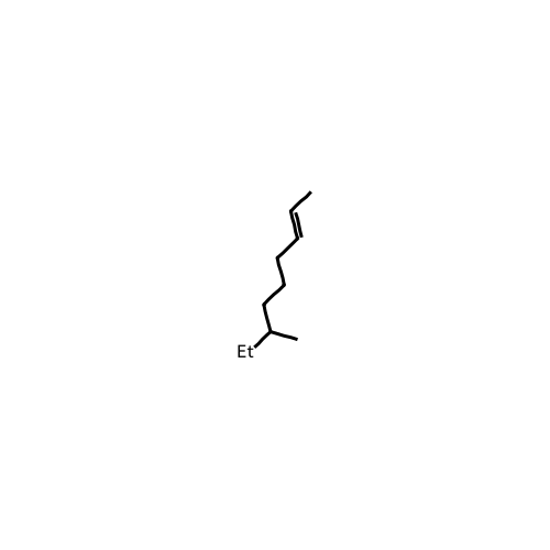 CC=CCCCC(C)CC